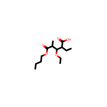 CCCCOC(=O)C(C)C(OCC)C(CC)C(=O)O